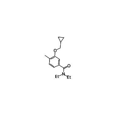 CCN(CC)C(=O)c1ccc(C)c(OCC2CC2)c1